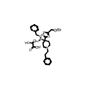 COCc1nnc(C2(N(OCc3ccccc3)C(C)=O)CCN(CCc3ccccc3)CC2)o1.O=C(O)C(=O)O